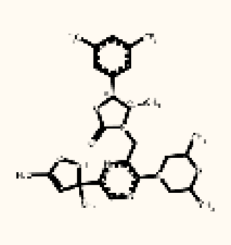 CC1=CC(C)(c2cnc(N3CC(C)OC(C)C3)c(CN3C(=O)O[C@@H](c4cc(C(F)(F)F)cc(C(F)(F)F)c4)[C@@H]3C)n2)NO1